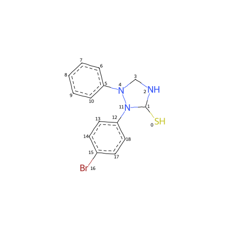 SC1NCN(c2ccccc2)N1c1ccc(Br)cc1